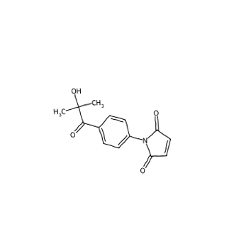 CC(C)(O)C(=O)c1ccc(N2C(=O)C=CC2=O)cc1